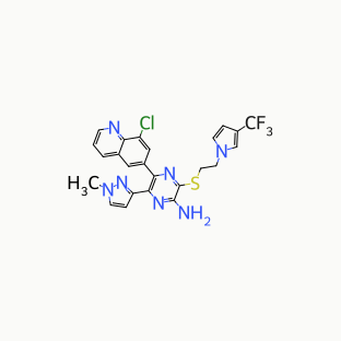 Cn1ccc(-c2nc(N)c(SCCn3ccc(C(F)(F)F)c3)nc2-c2cc(Cl)c3ncccc3c2)n1